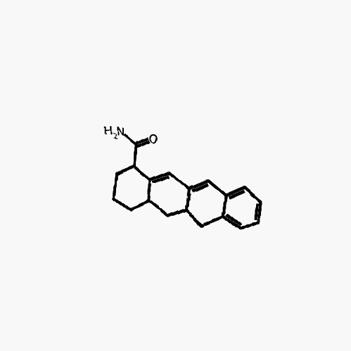 NC(=O)C1CCCC2CC3Cc4ccccc4C=C3C=C21